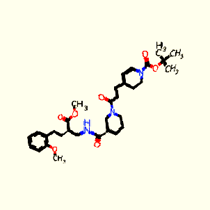 COC(=O)[C@H](CCc1ccccc1OC)CNC(=O)[C@@H]1CCCN(C(=O)CCC2CCN(C(=O)OC(C)(C)C)CC2)C1